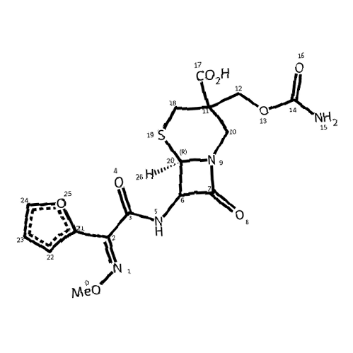 CON=C(C(=O)NC1C(=O)N2CC(COC(N)=O)(C(=O)O)CS[C@H]12)c1ccco1